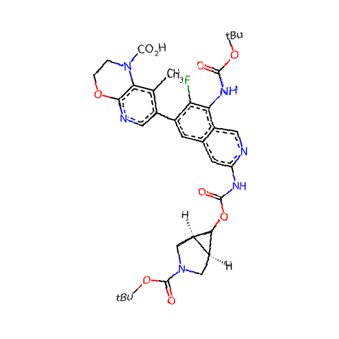 Cc1c(-c2cc3cc(NC(=O)OC4[C@H]5CN(C(=O)OC(C)(C)C)C[C@@H]45)ncc3c(NC(=O)OC(C)(C)C)c2F)cnc2c1N(C(=O)O)CCO2